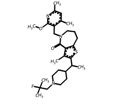 COc1nc(C)cc(C)c1CN1CCCc2sc(C(C)C3CCN(CC(C)(C)F)CC3)c(C)c2C1=O